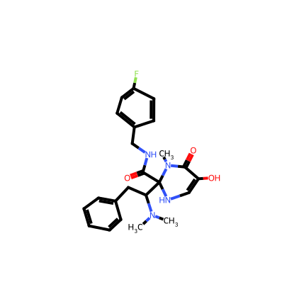 CN(C)C(Cc1ccccc1)C1(C(=O)NCc2ccc(F)cc2)NC=C(O)C(=O)N1C